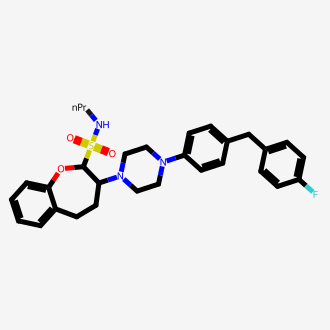 CCCNS(=O)(=O)C1Oc2ccccc2CCC1N1CCN(c2ccc(Cc3ccc(F)cc3)cc2)CC1